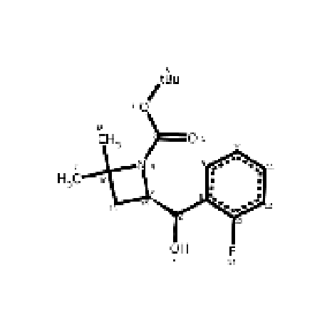 CC(C)(C)OC(=O)N1[C@@H](C(O)c2ccccc2F)CC1(C)C